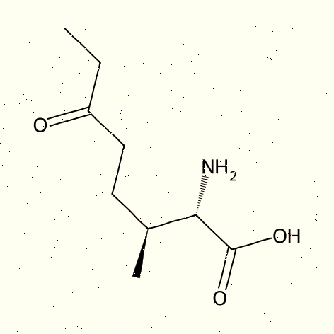 CCC(=O)CC[C@H](C)[C@H](N)C(=O)O